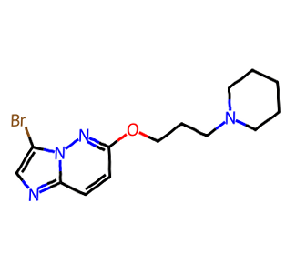 Brc1cnc2ccc(OCCCN3CCCCC3)nn12